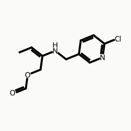 CC=C(COC=O)NCc1ccc(Cl)nc1